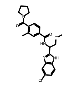 COCC(NC(=O)c1ccc(C(=O)N2CCCC2)c(C)c1)c1nc2cc(Cl)ccc2[nH]1